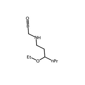 CCCC(CCNCB=O)OCC